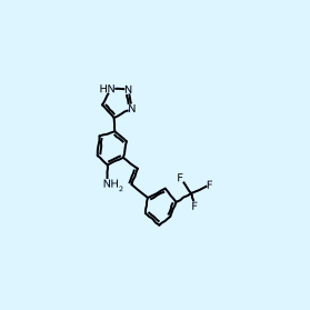 Nc1ccc(-c2c[nH]nn2)cc1/C=C/c1cccc(C(F)(F)F)c1